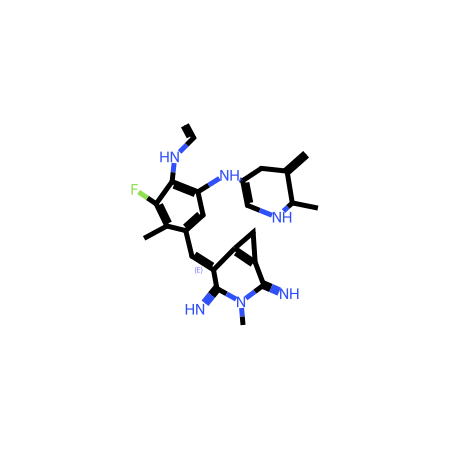 C=CNc1c(NC2=CNC(C)C(=C)C2)cc(/C=C2/C(=N)N(C)C(=N)C3=C2C3)c(C)c1F